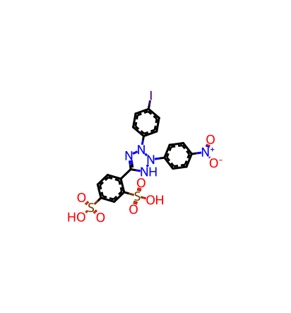 O=[N+]([O-])c1ccc(N2NC(c3ccc(S(=O)(=O)O)cc3S(=O)(=O)O)=NN2c2ccc(I)cc2)cc1